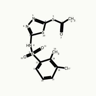 CC(=O)Sc1nnc(NS(=O)(=O)c2cccc(Cl)c2C)s1